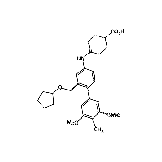 COc1cc(-c2ccc(NN3CCC(C(=O)O)CC3)cc2COC2CCCC2)cc(OC)c1C